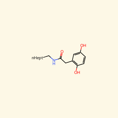 CCCCCCCCNC(=O)Cc1cc(O)ccc1O